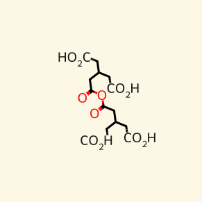 O=C(O)CC(CC(=O)O)CC(=O)OC(=O)CC(CC(=O)O)CC(=O)O